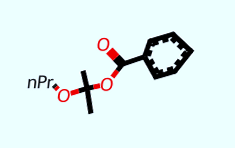 CCCOC(C)(C)OC(=O)c1ccccc1